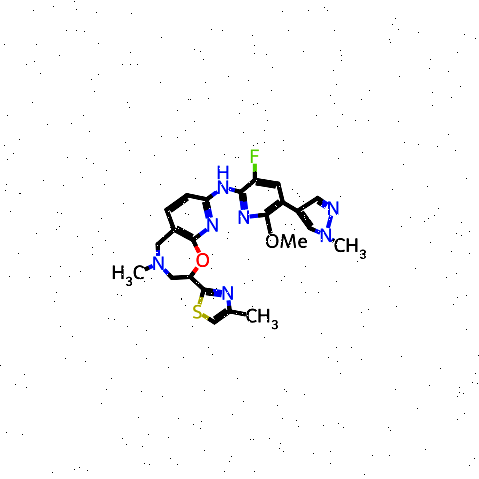 COc1nc(Nc2ccc3c(n2)OC(c2nc(C)cs2)CN(C)C3)c(F)cc1-c1cnn(C)c1